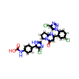 O=C(O)Nc1ccc(-c2[nH]c([C@@H]3CCc4nc(-c5cc(Cl)ccc5-n5cc(Cl)nn5)cc(=O)n43)nc2Cl)cc1